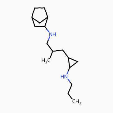 CCCNC1CC1CC(C)CNC1CC2CCC1C2